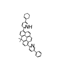 C=C(/C=C\C(=N)c1ccc2c3c1ccc1ccc4c(-c5ccc(-c6ccccc6)cn5)ccc(c4c13)C2(C)C)C1=CCCCC1